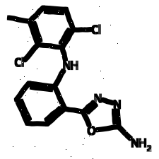 Cc1ccc(Cl)c(Nc2ccccc2-c2nnc(N)o2)c1Cl